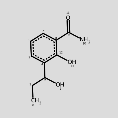 CCC(O)c1cccc(C(N)=O)c1O